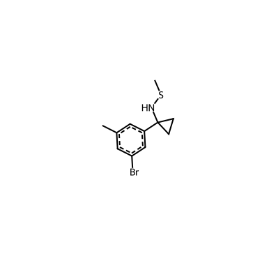 CSNC1(c2cc(C)cc(Br)c2)CC1